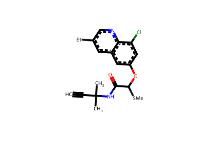 C#CC(C)(C)NC(=O)C(Oc1cc(Cl)c2ncc(CC)cc2c1)SC